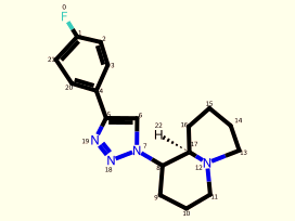 Fc1ccc(-c2cn(C3CCCN4CCCC[C@H]34)nn2)cc1